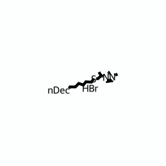 Br.CCCCCCCCCCCCCCCCSCC(C)N1C=CN(C)C1